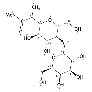 CNC(=O)C(C)C1O[C@H](CO)[C@@H](OC2O[C@H](CO)[C@H](O)[C@H](O)[C@H]2O)[C@H](O)[C@H]1O